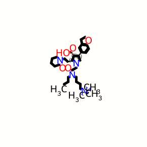 CCCCN(CCCC[N+](C)(C)C)C(=O)CN1C[C@H](c2ccc3c(c2)CCO3)[C@@H](C(=O)O)[C@@H]1CCN1CCCCC1=O